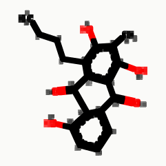 CCCCc1c(O)c(C)c(O)c2c1C(=O)c1c(O)cccc1C2=O